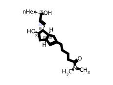 CCCCCC[C@H](O)/C=C/[C@@H]1[C@H]2CC(CCCCC(=O)N(C)C)=C[C@H]2C[C@H]1O